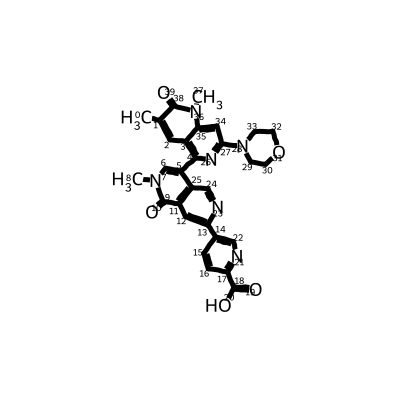 Cc1cc2c(-c3cn(C)c(=O)c4cc(-c5ccc(C(=O)O)nc5)ncc34)nc(N3CCOCC3)cc2n(C)c1=O